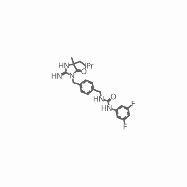 CC(C)CC1(C)NC(=N)N(Cc2ccc(CNC(=O)Nc3cc(F)cc(F)c3)cc2)C1=O